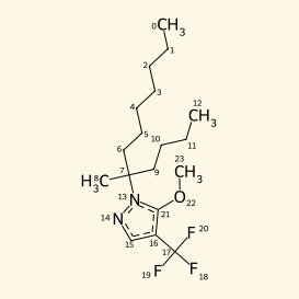 CCCCCCCC(C)(CCCC)n1ncc(C(F)(F)F)c1OC